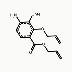 C=CCOC(=O)c1ccc(N)c(OC)c1OCC=C